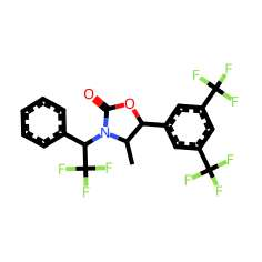 CC1C(c2cc(C(F)(F)F)cc(C(F)(F)F)c2)OC(=O)N1C(c1ccccc1)C(F)(F)F